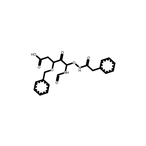 O=CNC(ONC(=O)Cc1ccccc1)C(=O)C(CC(=O)O)OCc1ccccc1